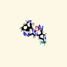 N#Cc1cnc(C(F)(F)F)cc1-n1cc(C#N)n(-c2cncc3ccccc23)c1=O